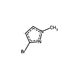 Cn1c[c]c(Br)n1